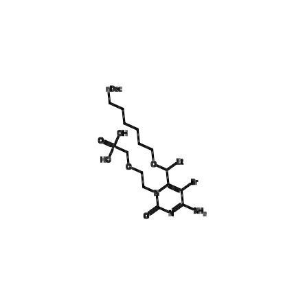 CCCCCCCCCCCCCCCCOC(CC)c1c(Br)c(N)nc(=O)n1CCOCP(=O)(O)O